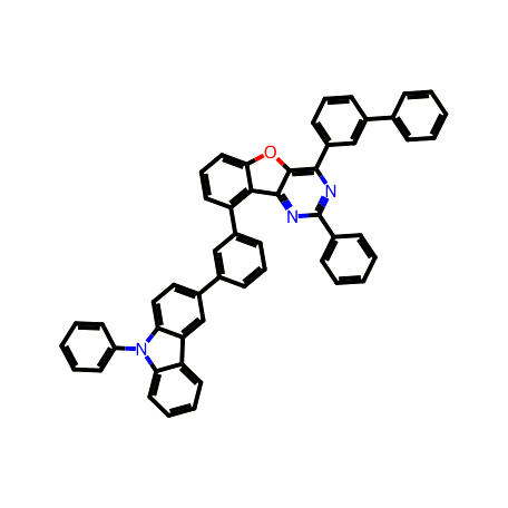 c1ccc(-c2cccc(-c3nc(-c4ccccc4)nc4c3oc3cccc(-c5cccc(-c6ccc7c(c6)c6ccccc6n7-c6ccccc6)c5)c34)c2)cc1